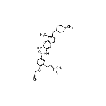 C#CCOc1ccc(C(=O)NC2=Cc3ccc(OC4CCN(C)CC4)c(C)c3OC2O)cc1CC=C(C)C